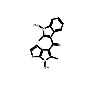 CCCn1c(C)c(C(=O)c2c(C)n(CCC)c3sccc23)c2ccccc21